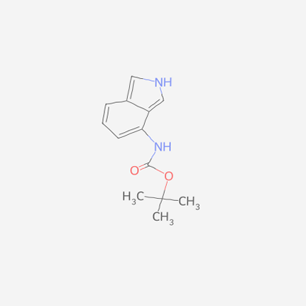 CC(C)(C)OC(=O)Nc1cccc2c[nH]cc12